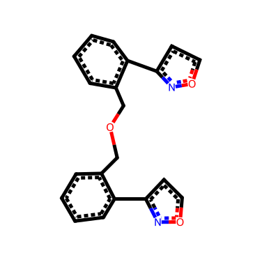 c1ccc(-c2ccon2)c(COCc2ccccc2-c2ccon2)c1